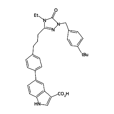 CCn1c(CCCc2ccc(-c3ccc4[nH]cc(C(=O)O)c4c3)cc2)nn(Cc2ccc(C(C)(C)C)cc2)c1=O